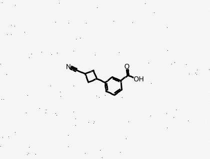 N#CC1CC(c2cccc(C(=O)O)c2)C1